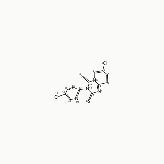 S=c1nc2ccc(Cl)cn2c(=S)n1-c1ccc(Cl)cn1